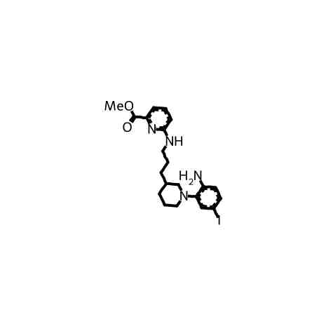 COC(=O)c1cccc(NCCCC2CCCN(c3cc(I)ccc3N)C2)n1